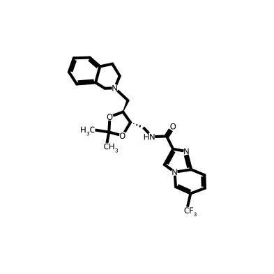 CC1(C)O[C@@H](CNC(=O)c2cn3cc(C(F)(F)F)ccc3n2)[C@H](CN2CCc3ccccc3C2)O1